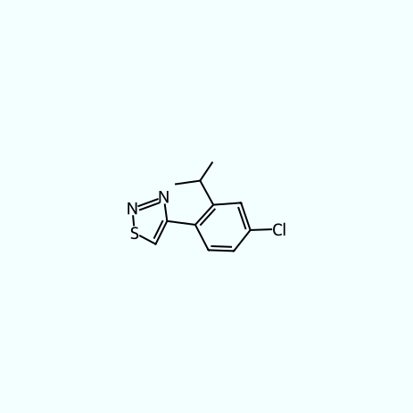 CC(C)c1cc(Cl)ccc1-c1csnn1